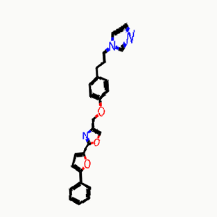 c1ccc(-c2ccc(-c3nc(COc4ccc(CCCn5ccnc5)cc4)co3)o2)cc1